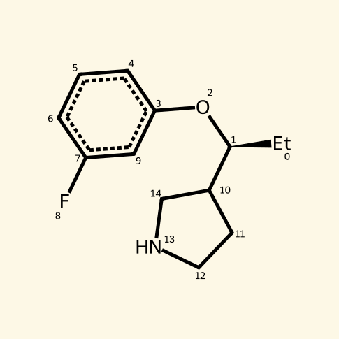 CC[C@H](Oc1cccc(F)c1)C1CCNC1